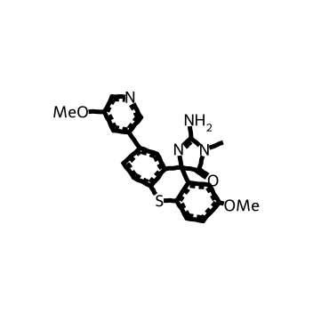 COc1cncc(-c2ccc3c(c2)C2(N=C(N)N(C)C2=O)c2cc(OC)ccc2S3)c1